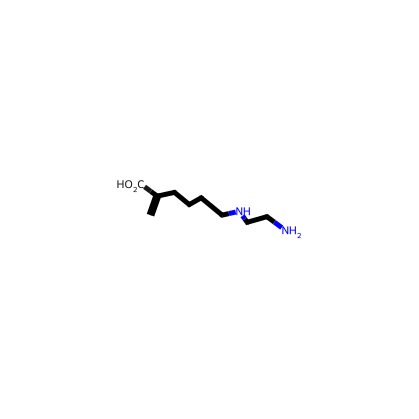 C=C(CCCCNCCN)C(=O)O